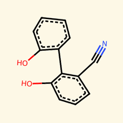 N#Cc1cccc(O)c1-c1ccccc1O